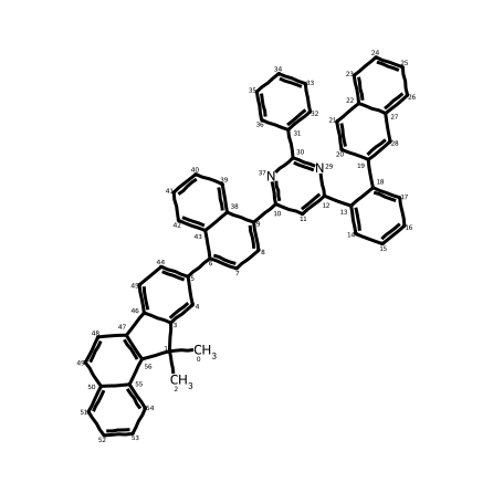 CC1(C)c2cc(-c3ccc(-c4cc(-c5ccccc5-c5ccc6ccccc6c5)nc(-c5ccccc5)n4)c4ccccc34)ccc2-c2ccc3ccccc3c21